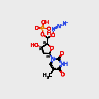 Cc1cn([C@H]2C[C@H](O)[C@@H](C(ON=[N+]=[N-])OP(=O)(O)O)O2)c(=O)[nH]c1=O